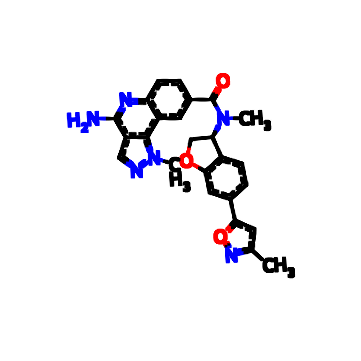 Cc1cc(-c2ccc3c(c2)OC[C@H]3N(C)C(=O)c2ccc3nc(N)c4cnn(C)c4c3c2)on1